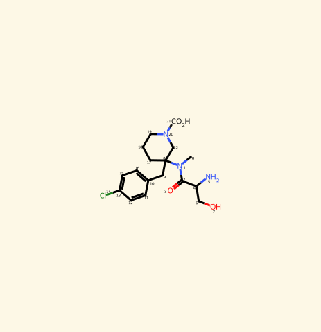 CN(C(=O)C(N)CO)C1(Cc2ccc(Cl)cc2)CCCN(C(=O)O)C1